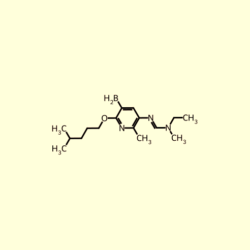 Bc1cc(/N=C/N(C)CC)c(C)nc1OCCCC(C)C